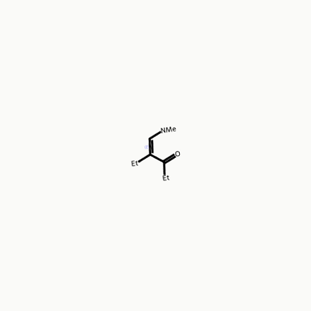 CCC(=O)/C(=C\NC)CC